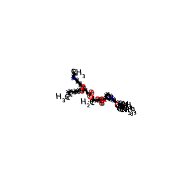 [CH2]C(COC(=O)CCC(OCCCC/C=C\CC)OCCCC/C=C\CC)COC(=O)OCC1CCCN(CCCO[Si](C)(C)C(C)(C)C)C1